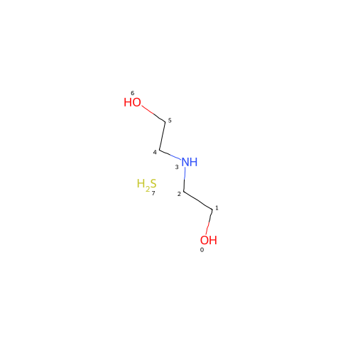 OCCNCCO.S